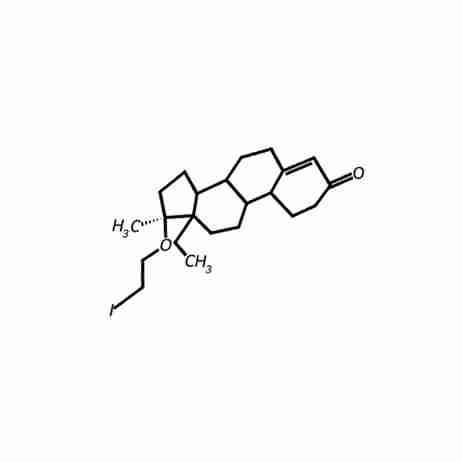 CCC12CCC3C4CCC(=O)C=C4CCC3C1CC[C@]2(C)OCCI